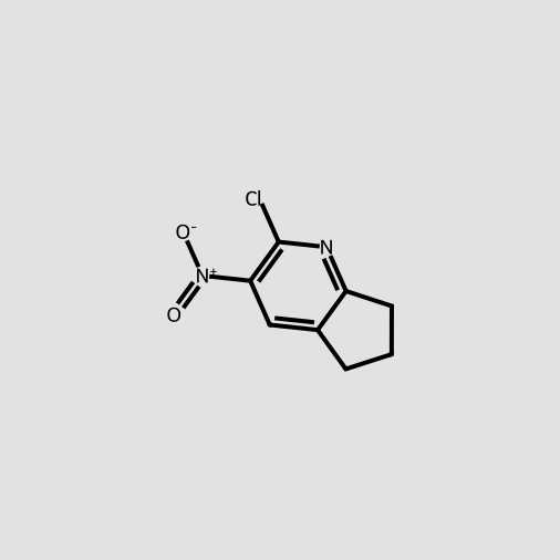 O=[N+]([O-])c1cc2c(nc1Cl)CCC2